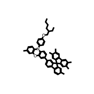 CCCCC(CC)COc1ccc(N2c3ccc(C)cc3Oc3cc(-c4ccc5c(c4)C4(c6cc(C)ccc6-5)c5cc(C)c(C)cc5-c5cc(C)c(C)cc54)ccc32)cc1